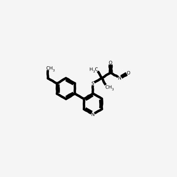 CCc1ccc(-c2cnccc2SC(C)(C)C(=O)N=O)cc1